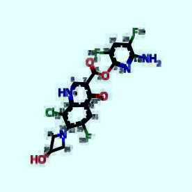 Nc1nc(OC(=O)c2c[nH]c3c(Cl)c(N4CC(O)C4)c(F)cc3c2=O)c(F)cc1F